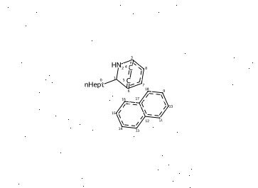 CCCCCCCC1Nc2ccc1cc2.c1ccc2ccccc2c1